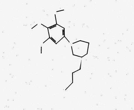 CCCC[C@H]1CN(c2cc(OC)c(OC)c(OC)c2)CC[C@@H]1N.Cl